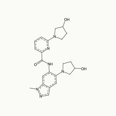 Cn1ncc2cc(N3CCC(O)C3)c(NC(=O)c3cccc(N4CCC(O)C4)n3)cc21